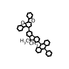 CC1(C)c2ccc(-c3cc4oc5ccccc5c4c4oc5ccccc5c34)cc2-c2ccc(-c3c4ccccc4c(-c4ccccc4)c4ccccc34)cc21